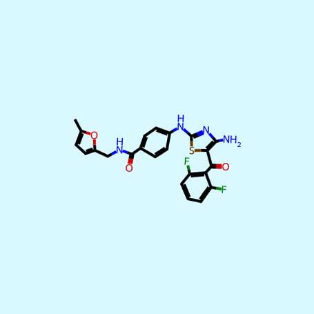 Cc1ccc(CNC(=O)c2ccc(Nc3nc(N)c(C(=O)c4c(F)cccc4F)s3)cc2)o1